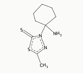 Cc1nn(C2(N)CCCCC2)c(=S)s1